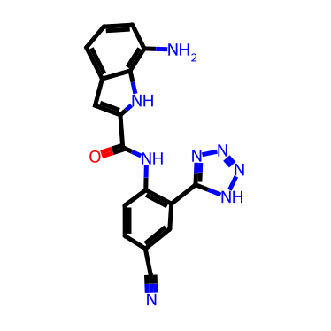 N#Cc1ccc(NC(=O)c2cc3cccc(N)c3[nH]2)c(-c2nnn[nH]2)c1